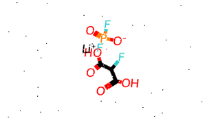 O=C(O)C(F)C(=O)O.O=P([O-])(F)F.[Li+]